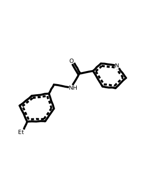 CCc1ccc(CNC(=O)c2cccnc2)cc1